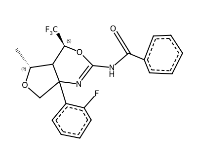 C[C@H]1OCC2(c3ccccc3F)N=C(NC(=O)c3ccccc3)O[C@H](C(F)(F)F)C12